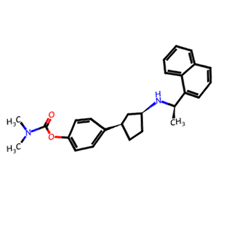 C[C@@H](N[C@H]1CC[C@@H](c2ccc(OC(=O)N(C)C)cc2)C1)c1cccc2ccccc12